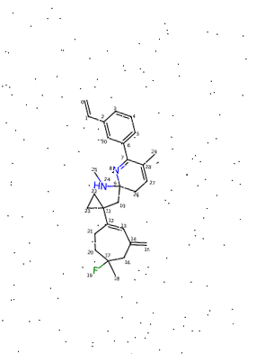 C=Cc1cccc(C2=NC(CC3(C4=CC(=C)CC(C)(F)CC4)CC3)(NC)CC=C2C)c1